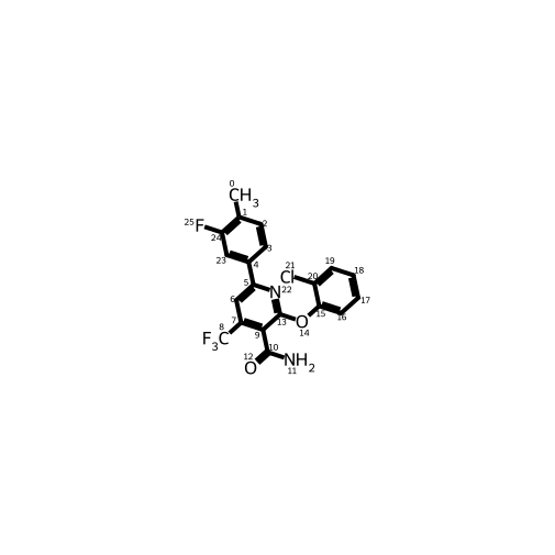 Cc1ccc(-c2cc(C(F)(F)F)c(C(N)=O)c(Oc3ccccc3Cl)n2)cc1F